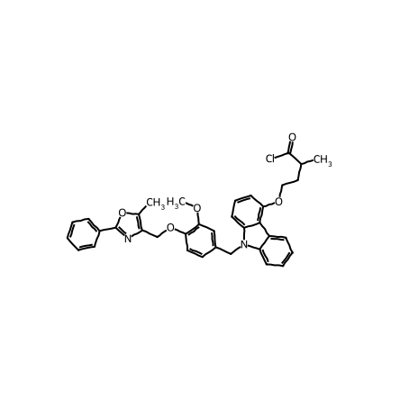 COc1cc(Cn2c3ccccc3c3c(OCCC(C)C(=O)Cl)cccc32)ccc1OCc1nc(-c2ccccc2)oc1C